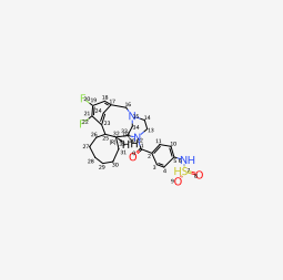 O=C(c1ccc(N[SH](=O)=O)cc1)N1CCN2Cc3cc(F)c(F)c(c3)C3CCCCCC[C@H]3[C@H]1C2